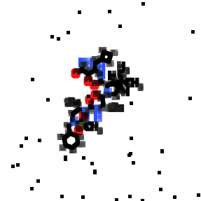 CC(C)(C)[C@H](NC(=O)N[C@H](CN(CC1CCCCC1)S(C)(=O)=O)C(C)(C)C)C(=O)N1C[C@H]2[C@@H]([C@H]1C(=O)NC(CC1CCC1)C(=O)C(N)=O)C2(C)C